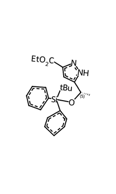 CCOC(=O)c1cc([C@H](C)O[Si](c2ccccc2)(c2ccccc2)C(C)(C)C)[nH]n1